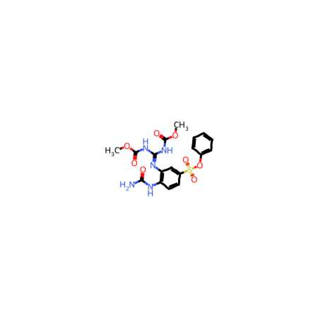 COC(=O)NC(=Nc1cc(S(=O)(=O)Oc2ccccc2)ccc1NC(N)=O)NC(=O)OC